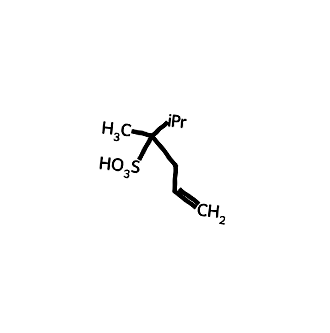 C=CCC(C)(C(C)C)S(=O)(=O)O